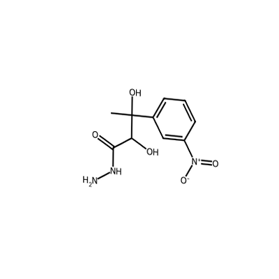 CC(O)(c1cccc([N+](=O)[O-])c1)C(O)C(=O)NN